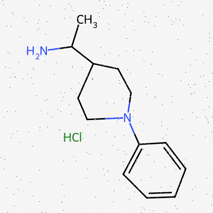 CC(N)C1CCN(c2ccccc2)CC1.Cl